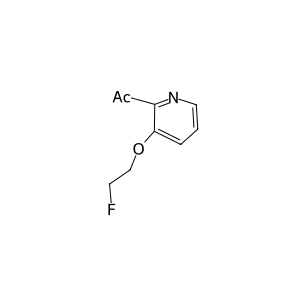 CC(=O)c1ncccc1OCCF